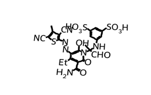 CCc1c(N=Nc2sc(C#N)c(C)c2C#N)c(O)n(C(C)(C=O)Nc2cc(S(=O)(=O)O)cc(S(=O)(=O)O)c2)c(=O)c1C(N)=O